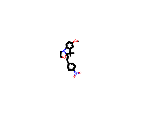 COc1ccc2c(c1)C(C)(C)C1(C=Cc3ccc([N+](=O)[O-])cc3)OCCN21